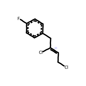 Fc1ccc(C/C(Cl)=C/CCl)cc1